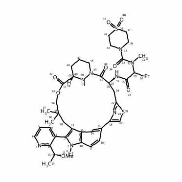 CCn1c(-c2cccnc2[C@H](C)OC)c2c3cc(ccc31)-c1csc(n1)C[C@H](NC(=O)C(C(C)C)N(C)C(=O)N1CCS(=O)(=O)CC1)C(=O)N1CCC[C@H](N1)C(=O)OCC(C)(C)C2